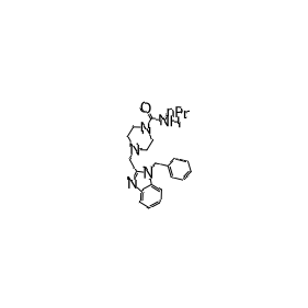 CCCNC(=O)N1CCN(Cc2nc3ccccc3n2Cc2ccccc2)CC1